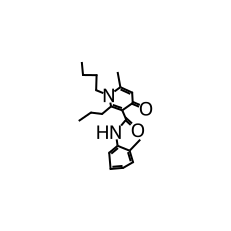 CCCCn1c(C)cc(=O)c(C(=O)Nc2ccccc2C)c1CCC